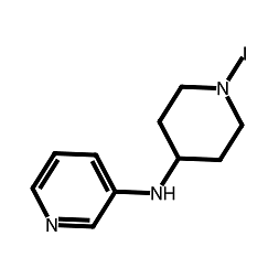 IN1CCC(Nc2cccnc2)CC1